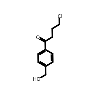 O=C(CCCCl)c1ccc(CO)cc1